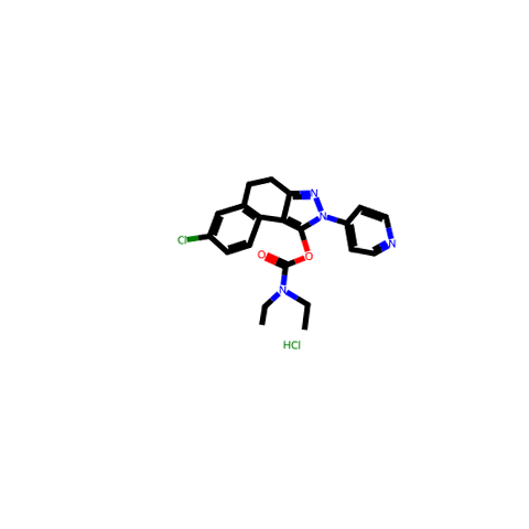 CCN(CC)C(=O)Oc1c2c(nn1-c1ccncc1)CCc1cc(Cl)ccc1-2.Cl